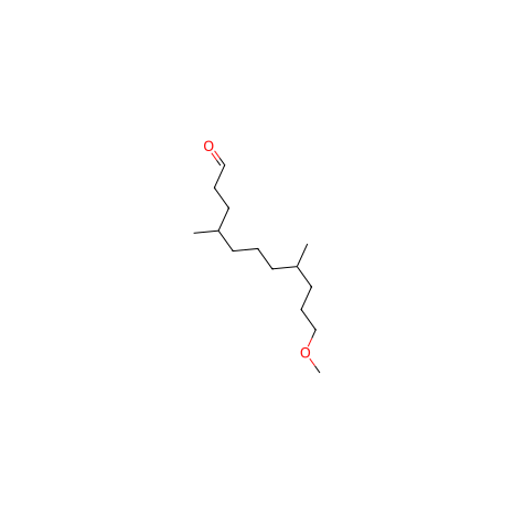 COCCCC(C)CCCC(C)CCC=O